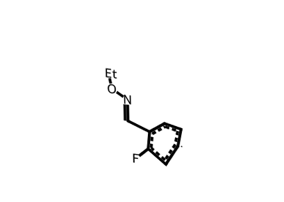 CCON=Cc1cc[c]cc1F